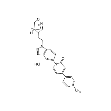 Cl.O=c1cc(-c2ccc(C(F)(F)F)cc2)ccn1-c1ccc2c(cnn2CCC2C[N@@]3C[C@H]2CO3)c1